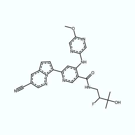 COc1cnc(Nc2cc(-c3ccc4cc(C#N)cnn34)ncc2C(=O)NCC(F)C(C)(C)O)cn1